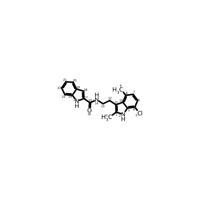 Cc1[nH]c2c(Cl)ccc(C)c2c1CCNC(=O)c1cc2ccccc2[nH]1